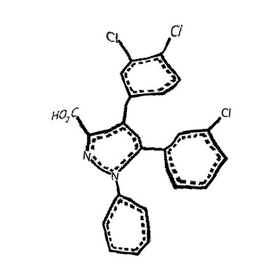 O=C(O)c1nn(-c2ccccc2)c(-c2cccc(Cl)c2)c1-c1ccc(Cl)c(Cl)c1